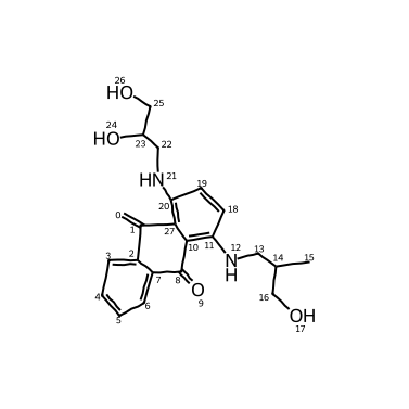 C=C1c2ccccc2C(=O)c2c(NCC(C)CO)ccc(NCC(O)CO)c21